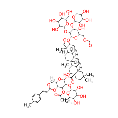 CC(=O)OC1C(OC(=O)/C=C/c2ccc(C)cc2)C(C)OC(OC(=O)[C@]23CCC(C)(C)C[C@H]2C2C=C[C@@H]4[C@@]5(C)CC[C@H](OC6OC(COC=O)C(O)C(OC7OCC(O)C(O)C7O)C6OC6OC(CO)C(O)C(O)C6O)[C@@](C)(C=O)[C@@H]5CC[C@@]4(C)[C@]2(C)C[C@H]3O)C1OC1OC(C)C(O)C(O)C1O